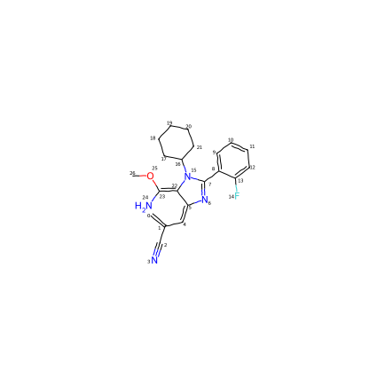 C=C(C#N)/C=c1/nc(-c2ccccc2F)n(C2CCCCC2)/c1=C(/N)OC